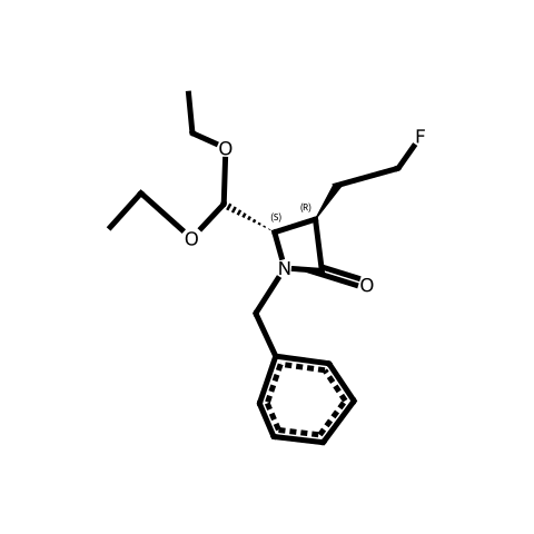 CCOC(OCC)[C@@H]1[C@@H](CCF)C(=O)N1Cc1ccccc1